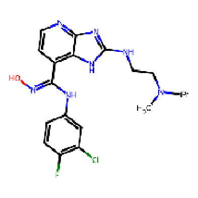 CC(C)N(C)CCNc1nc2nccc(/C(=N\O)Nc3ccc(F)c(Cl)c3)c2[nH]1